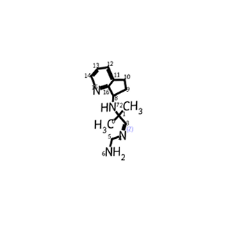 CC(C)(/C=N\CN)NC1CCc2cccnc21